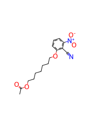 CC(=O)OCCCCCCCOc1cccc([N+](=O)[O-])c1C#N